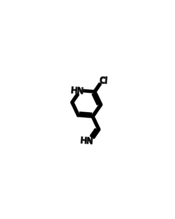 N=CC1=CCNC(Cl)=C1